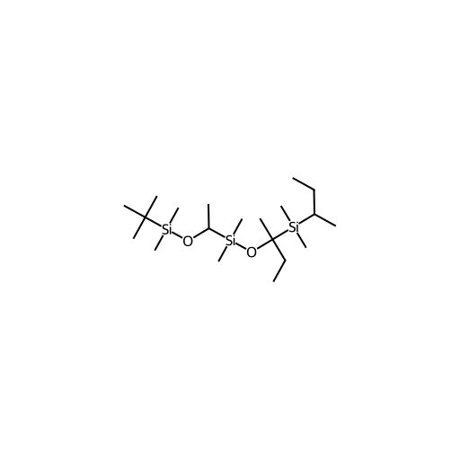 CCC(C)[Si](C)(C)C(C)(CC)O[Si](C)(C)C(C)O[Si](C)(C)C(C)(C)C